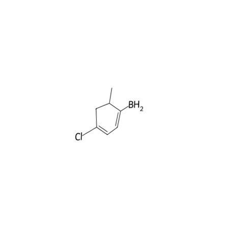 BC1=CC=C(Cl)CC1C